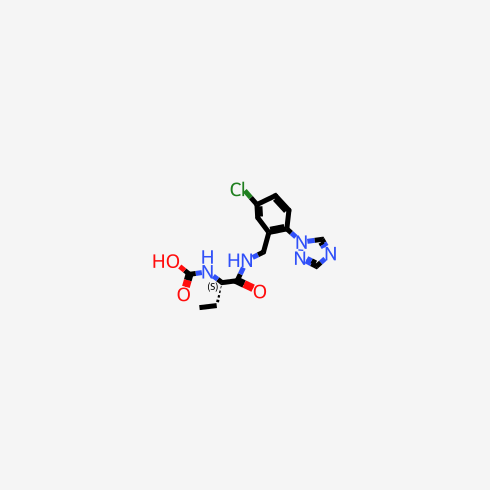 CC[C@H](NC(=O)O)C(=O)NCc1cc(Cl)ccc1-n1cncn1